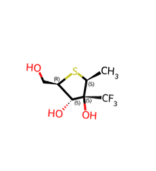 C[C@@H]1S[C@H](CO)[C@@H](O)[C@]1(O)C(F)(F)F